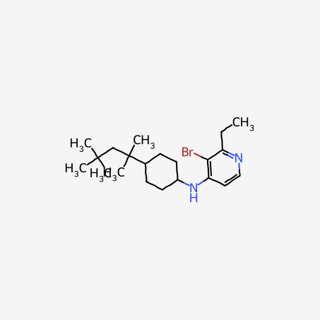 CCc1nccc(NC2CCC(C(C)(C)CC(C)(C)C)CC2)c1Br